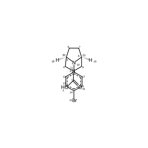 O=C(O)N1C[C@H]2CC[C@@H](C1)N2c1ccc(Br)cc1